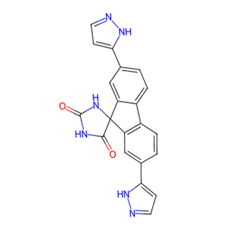 O=C1NC(=O)C2(N1)c1cc(-c3ccn[nH]3)ccc1-c1ccc(-c3ccn[nH]3)cc12